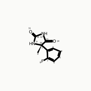 C[C@@]1(c2ccccc2F)NC(=O)NC1=O